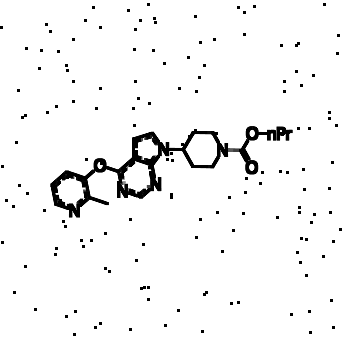 CCCOC(=O)N1CCC(n2ccc3c(Oc4cccnc4C)ncnc32)CC1